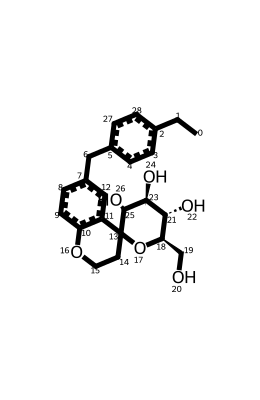 CCc1ccc(Cc2ccc3c(c2)C2(CCO3)O[C@H](CO)[C@@H](O)[C@H](O)[C@H]2O)cc1